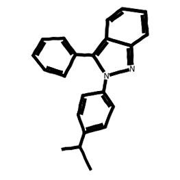 CC(C)c1ccc(-n2nc3ccccc3c2-c2ccccc2)cc1